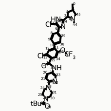 CC1CC(c2nc(-c3ccc(-c4cc(Cl)c(C(=O)Nc5ccc(N6CCN(C(=O)C(C)(C)C)CC6)nc5)cc4OC(F)(F)F)cc3)c(Cl)[nH]2)N(C)C1